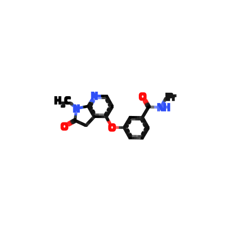 CC(C)NC(=O)c1cccc(Oc2ccnc3c2CC(=O)N3C)c1